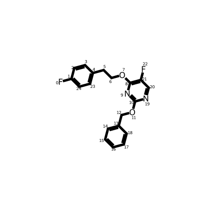 Fc1ccc(CCOc2nc(OCc3ccccc3)ncc2F)cc1